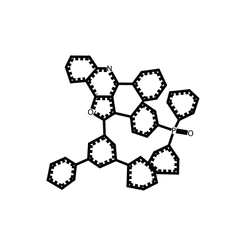 O=P(c1ccccc1)(c1ccccc1)c1ccc(-c2c(-c3cc(-c4ccccc4)cc(-c4ccccc4)c3)oc3c2c(-c2ccccc2)nc2ccccc23)cc1